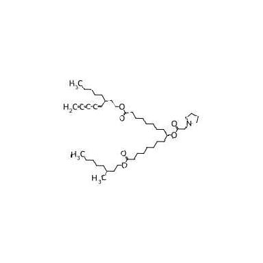 C=C=C=C=CC(CCCCC)CCOC(=O)CCCCCCCC(CCCCCCCC(=O)OCCC(C)CCCCC)OC(=O)CN1CCCC1